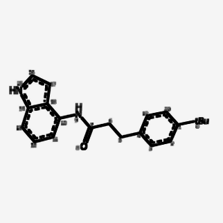 CC(C)(C)c1ccc(CCC(=O)Nc2cccc3[nH]ccc23)cc1